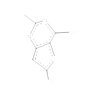 Cc1nc(O)c2sc(C(=O)O)cc2n1